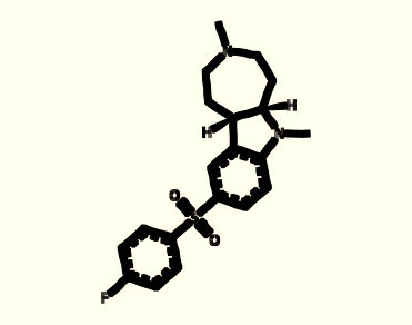 CN1CC[C@H]2c3cc(S(=O)(=O)c4ccc(F)cc4)ccc3N(C)[C@H]2CC1